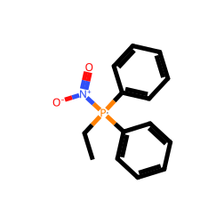 CC[P](c1ccccc1)(c1ccccc1)[N+](=O)[O-]